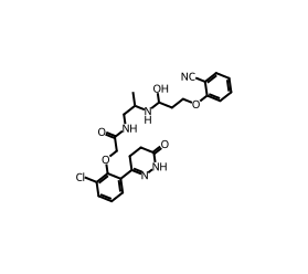 CC(CNC(=O)COc1c(Cl)cccc1C1=NNC(=O)CC1)NC(O)CCOc1ccccc1C#N